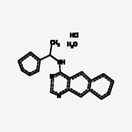 CC(Nc1ncnc2cc3ccccc3cc12)c1ccccc1.Cl.O